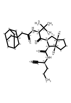 CCC[C@@H](C#N)NC(=O)[C@@H]1[C@H]2CCC[C@H]2CN1C(=O)[C@@H](NC(=O)CC12CC3CC(CC(C3)C1)C2)C(C)(C)C